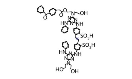 O=C(Cc1ccc(C(=O)c2ccccc2)cc1)OCCN(CCO)c1nc(Nc2ccccc2)nc(Nc2ccc(/C=C/c3ccc(Nc4nc(Nc5ccccc5)nc(N(CCO)CCO)n4)cc3S(=O)(=O)O)c(S(=O)(=O)O)c2)n1